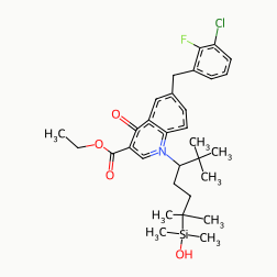 CCOC(=O)c1cn(C(CCC(C)(C)[Si](C)(C)O)C(C)(C)C)c2ccc(Cc3cccc(Cl)c3F)cc2c1=O